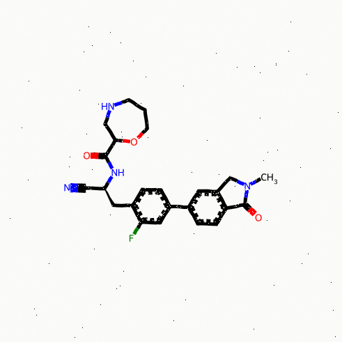 CN1Cc2cc(-c3ccc(C[C@@H](C#N)NC(=O)C4CNCCCO4)c(F)c3)ccc2C1=O